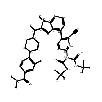 Cc1cc(C(=O)N(C)C)ccc1C1CCN(C(C)c2cc3c(-c4ccc(N(C(=O)OC(C)(C)C)C(=O)OC(C)(C)C)nc4C#N)ccnc3n2C)CC1